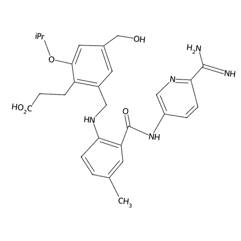 Cc1ccc(NCc2cc(CO)cc(OC(C)C)c2CCC(=O)O)c(C(=O)Nc2ccc(C(=N)N)nc2)c1